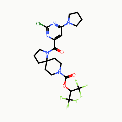 O=C(OC(C(F)(F)F)C(F)(F)F)N1CCC2(CCCN2C(=O)c2cc(N3CCCC3)nc(Cl)n2)CC1